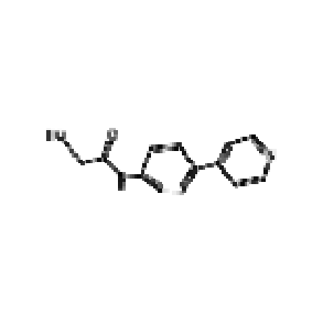 O=C(CO)Nc1ccc(-c2ccncc2)cc1